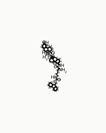 C[C@]1(C(=O)NC(=O)[C@@]2(C)CCC[C@]3(C)c4cc(NC(=O)[C@@H](N)CCCCNC(=O)OCC5c6ccccc6-c6ccccc65)ccc4CC[C@@H]23)CCC[C@]2(C)c3cc(O)ccc3CC[C@@H]12